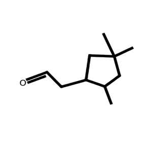 CC1CC(C)(C)CC1CC=O